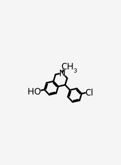 CN1Cc2cc(O)ccc2C(c2cccc(Cl)c2)C1